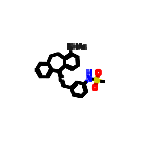 CC(=O)Nc1cccc2c1CCc1ccccc1C2=C=Cc1cccc(NS(C)(=O)=O)c1